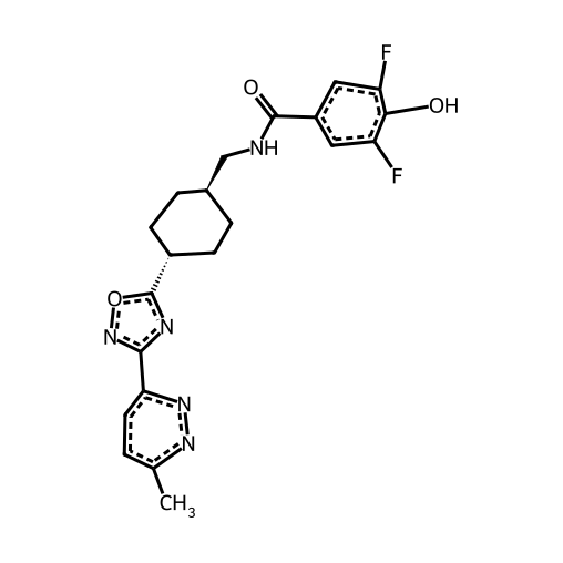 Cc1ccc(-c2noc([C@H]3CC[C@H](CNC(=O)c4cc(F)c(O)c(F)c4)CC3)n2)nn1